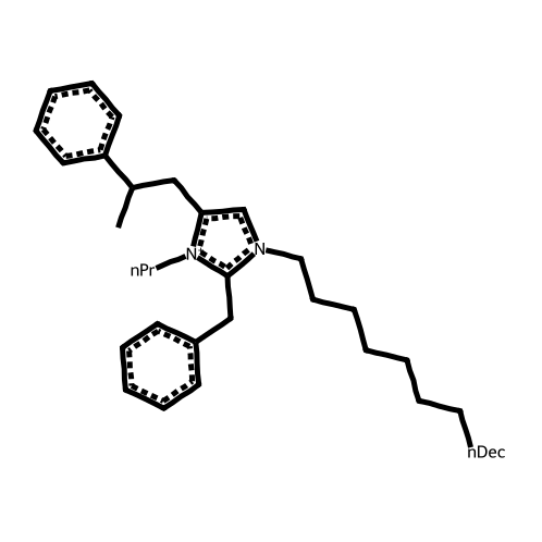 CCCCCCCCCCCCCCCCCn1cc(CC(C)c2ccccc2)[n+](CCC)c1Cc1ccccc1